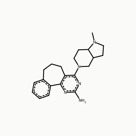 CN1CCC2CN(c3nc(N)nc4c3CCCc3ccccc3-4)CCC21